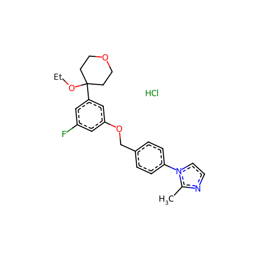 CCOC1(c2cc(F)cc(OCc3ccc(-n4ccnc4C)cc3)c2)CCOCC1.Cl